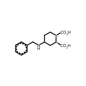 O=C(O)[C@H]1CC(NCc2ccccc2)CCN1C(=O)O